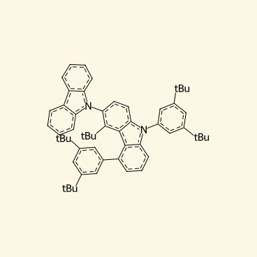 CC(C)(C)c1cc(-c2cccc3c2c2c(C(C)(C)C)c(-n4c5ccccc5c5ccccc54)ccc2n3-c2cc(C(C)(C)C)cc(C(C)(C)C)c2)cc(C(C)(C)C)c1